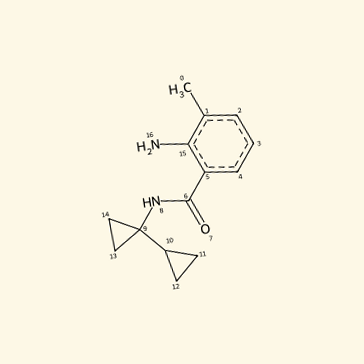 Cc1cccc(C(=O)NC2(C3CC3)CC2)c1N